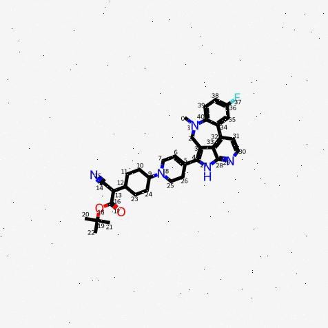 CN1Cc2c(C3=CCN(C4CCC(C(C#N)C(=O)OC(C)(C)C)CC4)CC3)[nH]c3nccc(c23)-c2cc(F)ccc21